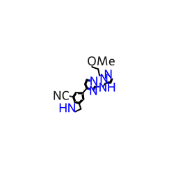 COCCCn1nccc1Nc1nccc(-c2cc(C#N)c3c(c2)CCN3)n1